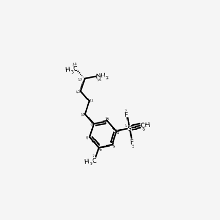 C#S(F)(F)c1cc(C)cc(CCC[C@H](C)N)c1